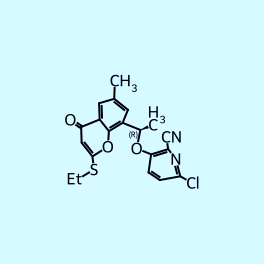 CCSc1cc(=O)c2cc(C)cc([C@@H](C)Oc3ccc(Cl)nc3C#N)c2o1